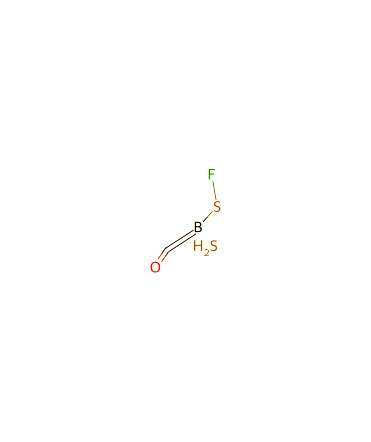 O=C=BSF.S